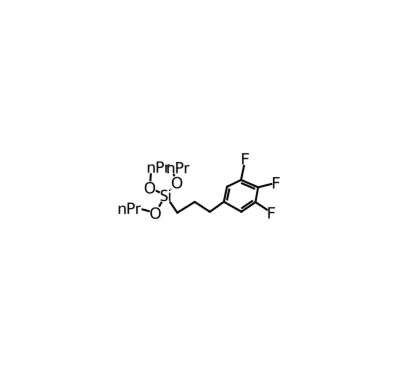 CCCO[Si](CCCc1cc(F)c(F)c(F)c1)(OCCC)OCCC